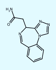 NC(=O)CC1N=Cc2ccccc2-n2cnnc21